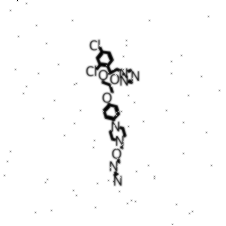 N#CN=COCN1CCN(c2ccc(OCC3COC(Cn4cncn4)(c4ccc(Cl)cc4Cl)O3)cc2)CC1